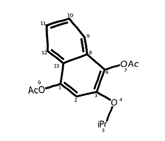 CC(=O)Oc1cc(OC(C)C)c(OC(C)=O)c2ccccc12